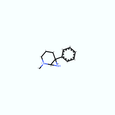 CN1CCCC2(c3ccccc3)NC12